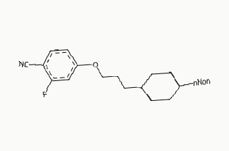 CCCCCCCCCC1CCC(CCCOc2ccc(C#N)c(F)c2)CC1